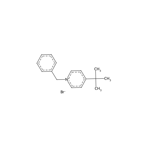 CC(C)(C)c1cc[n+](Cc2ccccc2)cc1.[Br-]